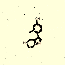 Cc1cc(C#N)ccc1-c1cnn2c1CNCC2